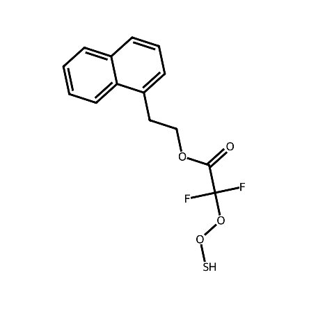 O=C(OCCc1cccc2ccccc12)C(F)(F)OOS